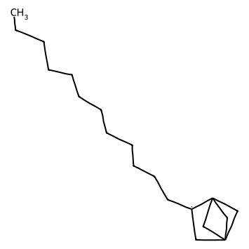 CCCCCCCCCCCC[C]1CC23CC1(C2)C3